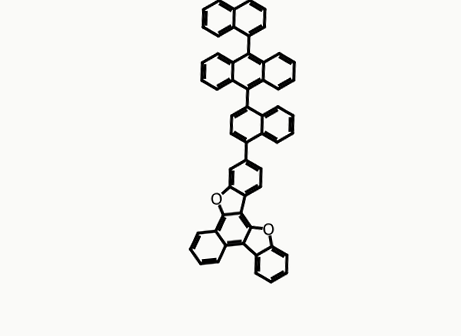 c1ccc2c(-c3c4ccccc4c(-c4ccc(-c5ccc6c(c5)oc5c7ccccc7c7c8ccccc8oc7c65)c5ccccc45)c4ccccc34)cccc2c1